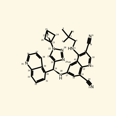 CC(C)(C)CNc1c(C#N)cnc2c(C#N)cc(N[C@H](c3cn(C45CC(C4)C5)nn3)c3cccc4ncccc34)cc12